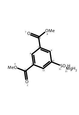 COC(=O)c1cc(C(=O)OC)cc(S(=O)(=O)O)c1.[MgH2]